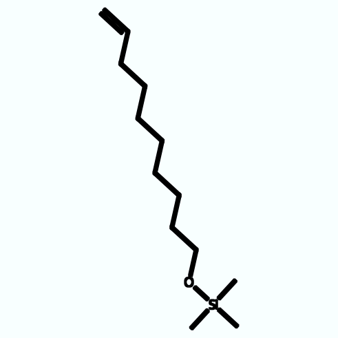 C=CCCCCCCCCO[Si](C)(C)C